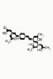 CCC(O)CN(CCN1CCN(CCN(CCN(CC(C)O)CC(C)O)CC(C)O)CC1)CC(C)O